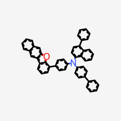 c1ccc(-c2ccc(N(c3ccc(-c4cccc5c4oc4cc6ccccc6cc45)cc3)c3ccc(-c4ccccc4)c4ccccc34)cc2)cc1